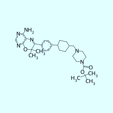 CC(C)(C)OC(=O)N1CCN(CC2CCC(c3ccc(C4=Nc5c(N)ncnc5OC4(C)C)cc3)CC2)CC1